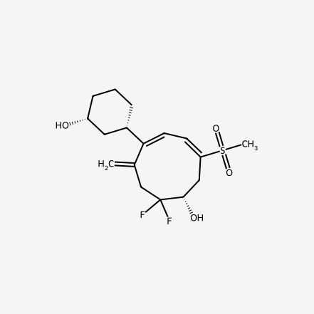 C=C1CC(F)(F)[C@@H](O)C/C(S(C)(=O)=O)=C\C=C/1[C@H]1CCC[C@@H](O)C1